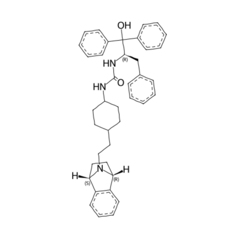 O=C(NC1CCC(CCN2[C@@H]3CC[C@H]2c2ccccc23)CC1)N[C@H](Cc1ccccc1)C(O)(c1ccccc1)c1ccccc1